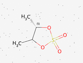 CC1OS(=O)(=O)O[C@H]1C